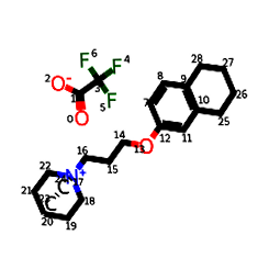 O=C([O-])C(F)(F)F.c1cc2c(cc1OCCC[N+]13CCC(CC1)CC3)CCCC2